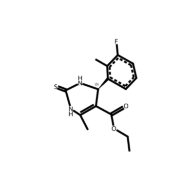 CCOC(=O)C1=C(C)NC(=S)N[C@H]1c1cccc(F)c1C